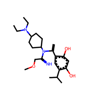 C=C(c1cc(C(C)C)c(O)cc1O)N(C(=N)COC)C1CCC(N(CC)CC)CC1